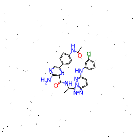 CC(=O)Nc1ccc(-c2cnc(N)c(C(=O)N[C@H](C)c3nnc4ccc(Nc5cccc(Cl)c5)nn34)n2)cc1